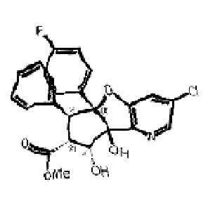 COC(=O)[C@H]1[C@@H](O)C2(O)c3ncc(Cl)cc3O[C@@]2(c2ccc(F)cc2)[C@@H]1c1ccccc1